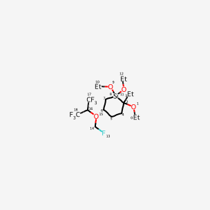 CCOC1(CC)CCCC[Si]1(OCC)OCC.FCOC(C(F)(F)F)C(F)(F)F